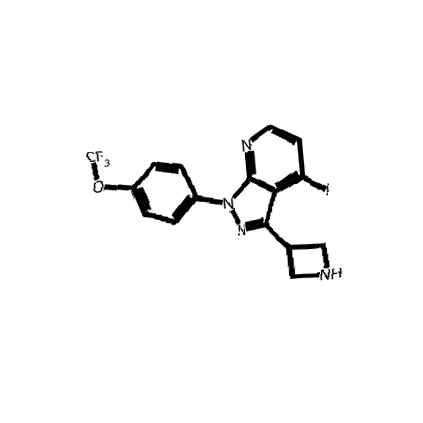 FC(F)(F)Oc1ccc(-n2nc(C3CNC3)c3c(I)ccnc32)cc1